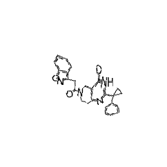 O=C(Cc1noc2ccccc12)N1CCc2nc(C3(c4ccccc4)CC3)[nH]c(=O)c2C1